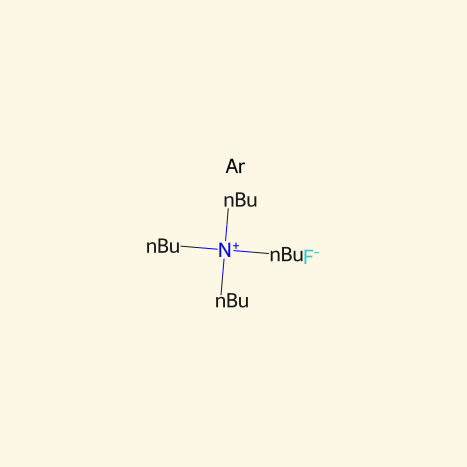 CCCC[N+](CCCC)(CCCC)CCCC.[Ar].[F-]